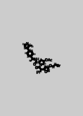 CC(=O)O[C@@H]1C[C@@H](C(=O)N[C@@H](C)c2ccc(-c3scnc3C)cc2)N(C(=O)[C@@H](c2cc(OCCBr)no2)C(C)C)C1